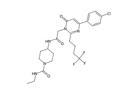 CCNC(=O)N1CCC(NC(=O)Cn2c(CCCC(F)(F)F)nc(-c3ccc(Cl)cc3)cc2=O)CC1